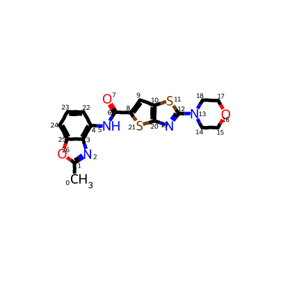 Cc1nc2c(NC(=O)c3cc4sc(N5CCOCC5)nc4s3)cccc2o1